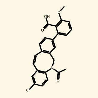 COc1cccc(-c2ccc3c(c2)CN(C(C)=O)c2ccc(Cl)cc2C=C3)c1C(=O)O